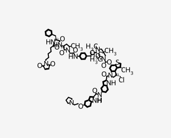 Cc1csc2c(OC(=O)N(C)CC(C)(C)CN(C)C(=O)OCc3ccc(NC(=O)CN4C(=O)[C@@H](NC(=O)[C@H](Cc5ccccc5)NC(=O)CCCCCN5C(=O)C=CC5=O)CC4C)cc3)cc3c(c12)[C@H](CCl)CN3C(=O)c1cc2cc(NC(=O)c3cc4cc(OCCN5CCCC5)ccc4[nH]3)ccc2[nH]1